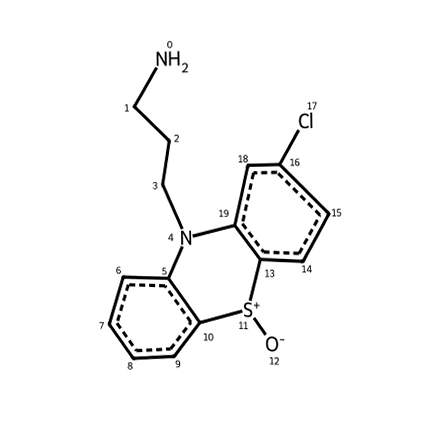 NCCCN1c2ccccc2[S+]([O-])c2ccc(Cl)cc21